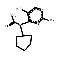 C=C(C)N(c1nc(NC)ncc1C)C1CCCCC1